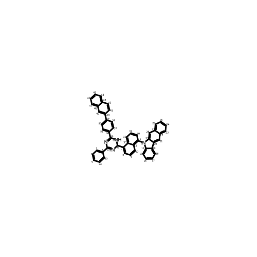 c1ccc(C2=NC(c3cccc4c(-n5c6ccccc6c6cc7ccccc7cc65)cccc34)NC(c3ccc(-c4ccc5ccccc5c4)cc3)=N2)cc1